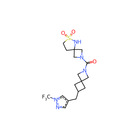 O=C(N1CC2(CC(Cc3cnn(C(F)(F)F)c3)C2)C1)N1CC2(CCS(=O)(=O)N2)C1